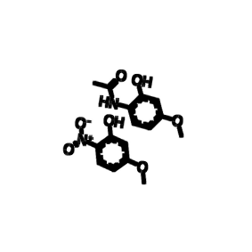 COc1ccc(NC(C)=O)c(O)c1.COc1ccc([N+](=O)[O-])c(O)c1